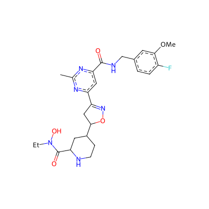 CCN(O)C(=O)C1CC(C2CC(c3cc(C(=O)NCc4ccc(F)c(OC)c4)nc(C)n3)=NO2)CCN1